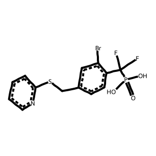 O=P(O)(O)C(F)(F)c1ccc(CSc2ccccn2)cc1Br